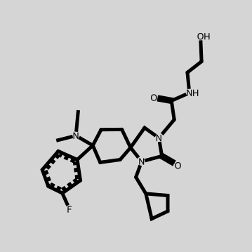 CN(C)C1(c2cccc(F)c2)CCC2(CC1)CN(CC(=O)NCCO)C(=O)N2CC1CCC1